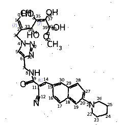 C/C=C(/Cn1cc(CNC(=O)/C(C#N)=C/c2ccc3cc(N4CCCCC4)ccc3c2)nn1)[C@@H](O)/C(O)=C(/O)[C@H](O)OC